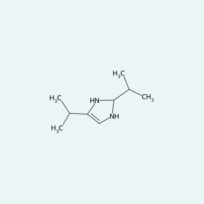 CC(C)C1=CNC(C(C)C)N1